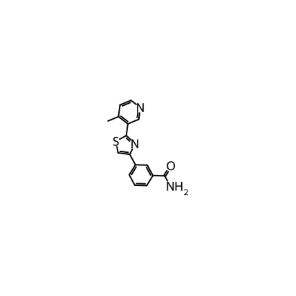 Cc1ccncc1-c1nc(-c2cccc(C(N)=O)c2)cs1